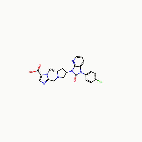 Cn1c(C(=O)O)cnc1CN1CCC(n2c(=O)n(-c3ccc(Cl)cc3)c3cccnc32)C1